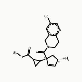 CC(C)(C)OC(=O)C1CC1[C@]1(C(=O)N2CCc3ncc(C(F)(F)F)cc3C2)C=C[C@@H](N)C1